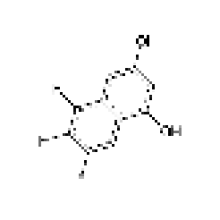 Oc1cc(O)c2cc(F)c(F)c(F)c2c1